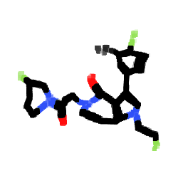 O=C(Cn1ccc2c(c(-c3ccc(F)c(C(F)(F)F)c3)cn2CCF)c1=O)N1CCC(F)C1